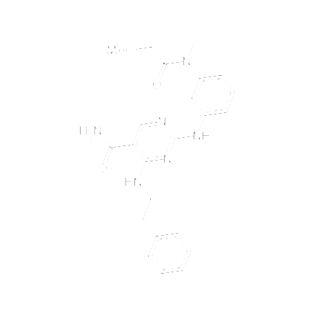 COCC(=O)N(C)c1cccc(Nc2ncc(C(N)=O)c(NCCc3ccccc3)n2)c1